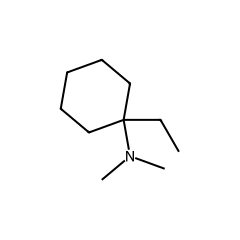 CCC1(N(C)C)CCCCC1